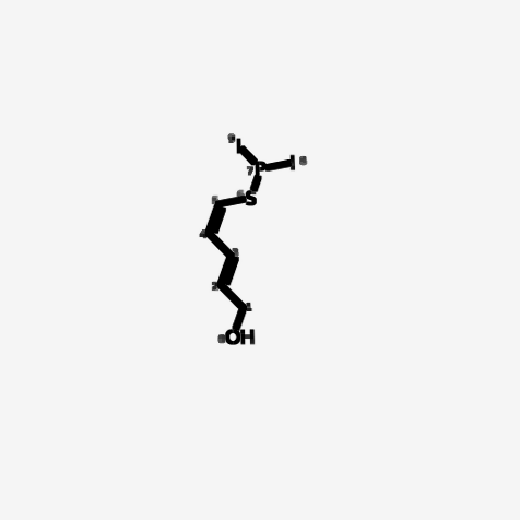 OC/C=C/C=C\SP(I)I